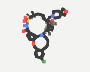 CCO[C@@]1(CN2CCC3(CC2)COC3)/C=C/C[C@H](C)[C@@H](C)S(=O)(=O)NC(=O)c2ccc3c(c2)N(CCCCc2cc(Cl)ccc2CO3)C[C@@H]2CC[C@H]21